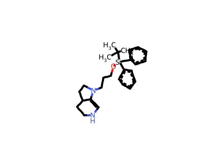 CC(C)(C)[Si](OCCCN1CCC2CCNC=C21)(c1ccccc1)c1ccccc1